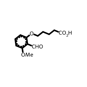 COc1cccc(OCCCCC(=O)O)c1C=O